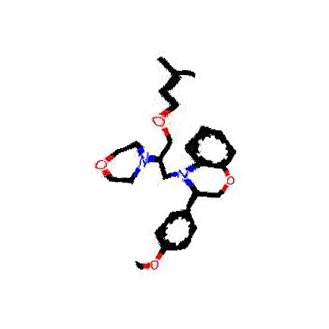 COc1ccc(C2COc3ccccc3N2CC(COCC=C(C)C)N2CCOCC2)cc1